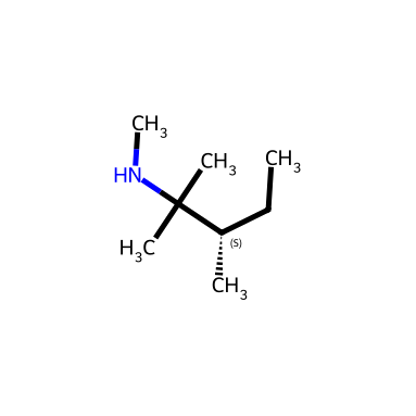 CC[C@H](C)C(C)(C)NC